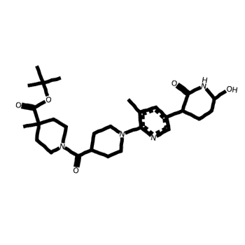 Cc1cc(C2CCC(O)NC2=O)cnc1N1CCC(C(=O)N2CCC(C)(C(=O)OC(C)(C)C)CC2)CC1